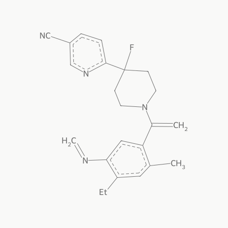 C=Nc1cc(C(=C)N2CCC(F)(c3ccc(C#N)cn3)CC2)c(C)cc1CC